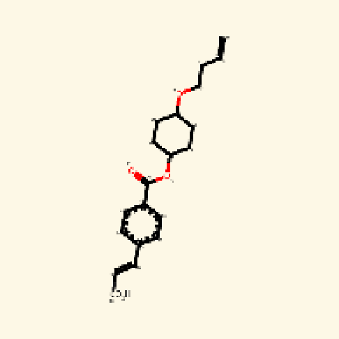 C=CCCOC1CCC(OC(=O)c2ccc(C=CC(=O)O)cc2)CC1